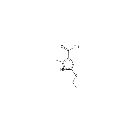 CCSc1cc(C(=O)O)c(C)[nH]1